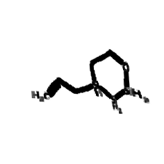 C=CC[SiH]1CCO[SiH2][SiH2]1